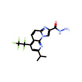 CC(C)c1cc(C(F)(F)C(F)(F)F)c2ccc3nc(C(=O)NN)cn3c2n1